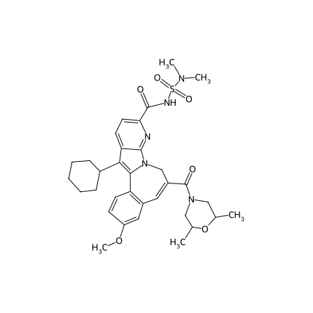 COc1ccc2c(c1)C=C(C(=O)N1CC(C)OC(C)C1)Cn1c-2c(C2CCCCC2)c2ccc(C(=O)NS(=O)(=O)N(C)C)nc21